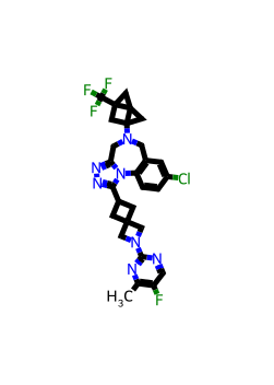 Cc1nc(N2CC3(CC(c4nnc5n4-c4ccc(Cl)cc4CN(C46CC7(C(F)(F)F)CC47C6)C5)C3)C2)ncc1F